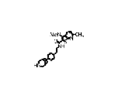 CNc1c(C(=O)NCCc2ccc(C3C4CCC3CNC4)cc2)sc2nc(C)ccc12